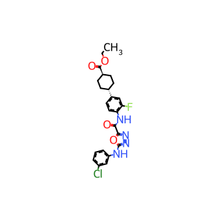 CCOC(=O)[C@H]1CC[C@H](c2ccc(NC(=O)c3nnc(Nc4cccc(Cl)c4)o3)c(F)c2)CC1